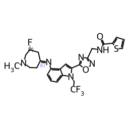 CN1CC/C(=N\c2cccc3c2cc(-c2nc(CNC(=O)c4cccs4)no2)n3CC(F)(F)F)C[C@@H](F)C1